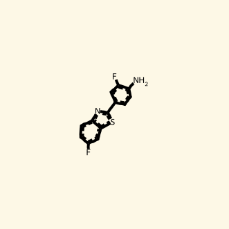 Nc1ccc(-c2nc3ccc(F)cc3s2)cc1F